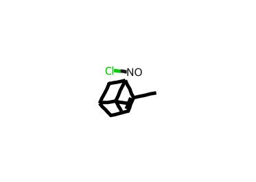 CC1=CCC2CC1C2(C)C.O=NCl